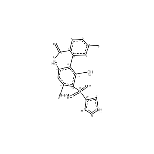 C=C(C)c1ccc(C)cc1-c1c(O)cc(CCCCC)c(S(=O)(=O)c2c[nH]cn2)c1O